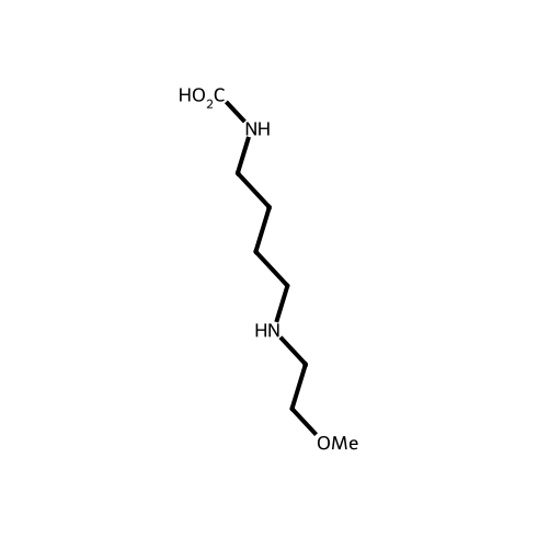 COCCNCCCCNC(=O)O